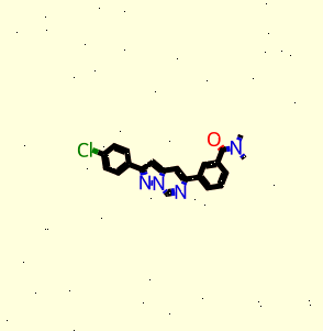 CN(C)C(=O)c1cccc(-c2cc3cc(-c4ccc(Cl)cc4)nn3cn2)c1